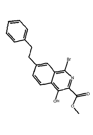 COC(=O)c1nc(Br)c2cc(CCc3ccccc3)ccc2c1O